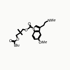 CNCCc1cn(C(=O)OCC(C)(C)COC(=O)C(C)(C)C)c2ccc(OC)cc12